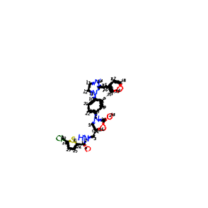 O=C(NC[C@H]1CN(c2ccc(N3CCN=C3c3ccoc3)cc2)C(=O)O1)c1ccc(Cl)s1